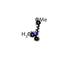 COc1ccc(CCCCCNCC(c2ccccc2)c2ccc(C)cc2)cc1